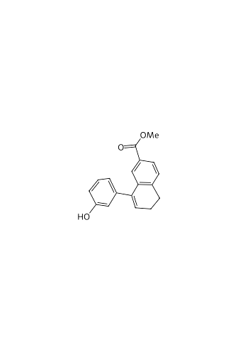 COC(=O)c1ccc2c(c1)C(c1cccc(O)c1)=CCC2